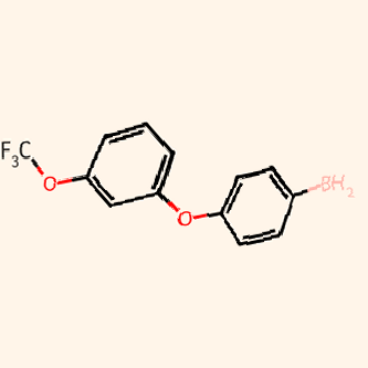 Bc1ccc(Oc2cccc(OC(F)(F)F)c2)cc1